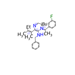 CC/C(C)=C(/C)C(/N=C\C(C)CC)=C(/N=C(\C)c1cccc(F)c1)NCc1ccccc1